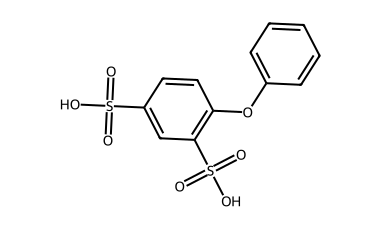 O=S(=O)(O)c1ccc(Oc2ccccc2)c(S(=O)(=O)O)c1